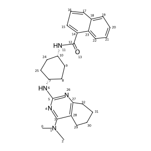 CN(C)c1nc(N[C@H]2CC[C@@H](NC(=O)c3cccc4ccccc34)CC2)nc2c1CCCC2